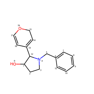 OC1CCN(Cc2ccccc2)C1C1=CCOC=C1